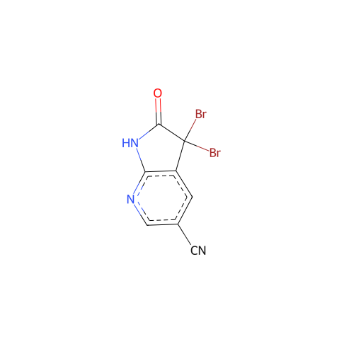 N#Cc1cnc2c(c1)C(Br)(Br)C(=O)N2